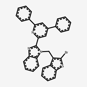 Brc1sc2ccccc2c1Cn1c(-c2cc(-c3ccccc3)cc(-c3ccccc3)n2)nc2ccccc21